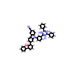 N#Cc1ccc2c(c1)c1ccc(-c3cccc4c3oc3ccccc34)cc1n2-c1cccc(C2NC(c3ccccc3)NC(c3ccccc3)N2)c1